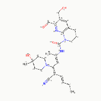 CC/C=C/C(C#N)=C(\C=C(/C)NC(=O)N1CCCc2cc(CO)c(C=O)nc21)N1CCC(C)(O)CC1